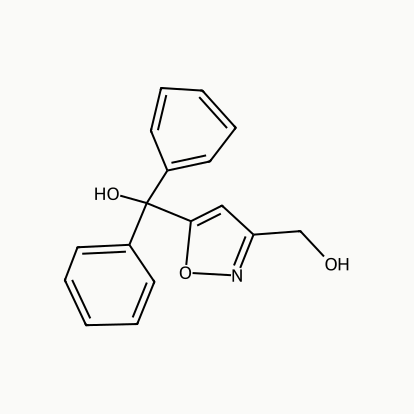 OCc1cc(C(O)(c2ccccc2)c2ccccc2)on1